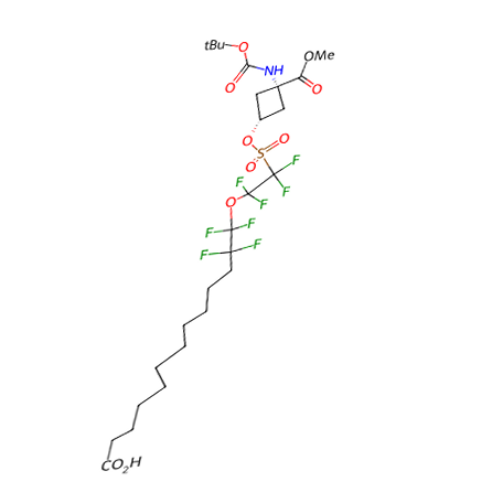 COC(=O)[C@]1(NC(=O)OC(C)(C)C)C[C@@H](OS(=O)(=O)C(F)(F)C(F)(F)OC(F)(F)C(F)(F)CCCCCCCCCCC(=O)O)C1